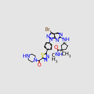 CNC(=O)[C@]1(C)CC[C@@H](Nc2ncc3c(Br)nn(-c4ccc(-c5nnc(C(=O)N6CCNCC6)s5)cc4)c3n2)C1